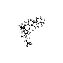 CC1CC[C@@]2(C)C(CC[C@@]3(C)C4CC[C@@]5(NC(=O)NCCN(C)C)CCC[C@@H]5[C@H]4CCC32)C1(C)C